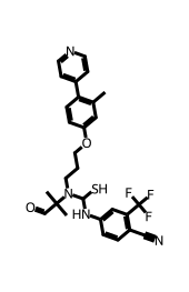 Cc1cc(OCCCN(C(S)Nc2ccc(C#N)c(C(F)(F)F)c2)C(C)(C)C=O)ccc1-c1ccncc1